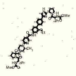 CCOc1cc(NC(=O)c2ccc(N3CCN(C(=O)[C@]4(C)CCCN4C(=O)[C@@H](NC(=O)OC)C(C)C)C[C@H]3C)nc2)ccc1-c1ccc(-c2c[nH]c([C@@H]3CCCN3C(=O)[C@@H](NC(=O)OC)C(C)C)n2)cc1